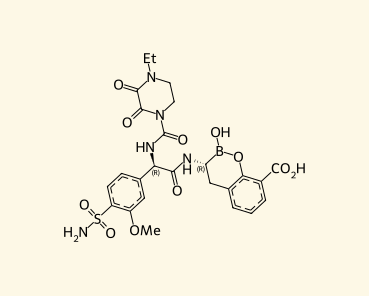 CCN1CCN(C(=O)N[C@@H](C(=O)N[C@H]2Cc3cccc(C(=O)O)c3OB2O)c2ccc(S(N)(=O)=O)c(OC)c2)C(=O)C1=O